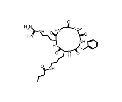 CCCC(=O)NCCCC[C@@H]1NC(=O)[C@@H](Cc2ccccc2)NC(=O)[C@H](C)NC(=O)CNC(=O)[C@H](CCCNC(=N)N)NC1=O